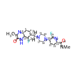 [2H]C([2H])(c1ccc2nc(C)c(=O)[nH]c2c1F)N1CCN(c2ccc(C(=O)NC)nc2F)CC1